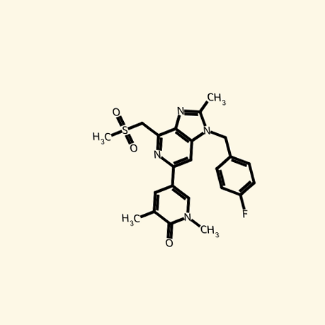 Cc1cc(-c2cc3c(nc(C)n3Cc3ccc(F)cc3)c(CS(C)(=O)=O)n2)cn(C)c1=O